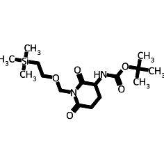 CC(C)(C)OC(=O)NC1CCC(=O)N(COCC[Si](C)(C)C)C1=O